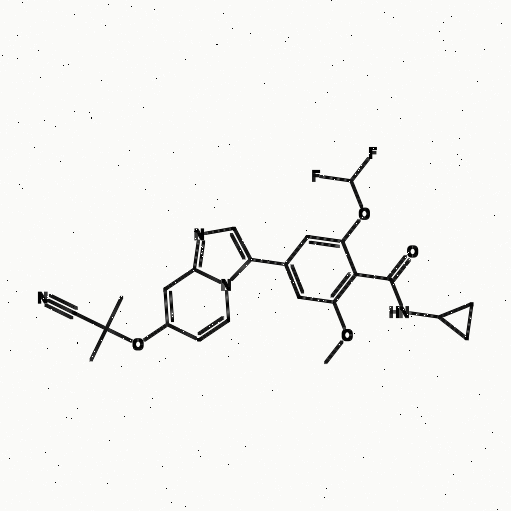 COc1cc(-c2cnc3cc(OC(C)(C)C#N)ccn23)cc(OC(F)F)c1C(=O)NC1CC1